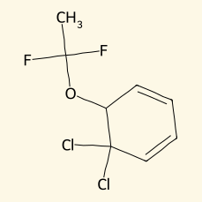 CC(F)(F)OC1C=CC=CC1(Cl)Cl